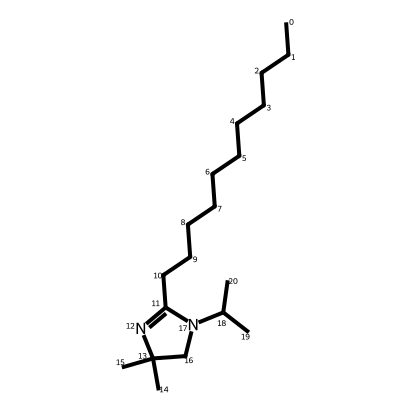 CCCCCCCCCCCC1=NC(C)(C)CN1C(C)C